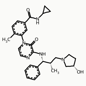 Cc1ccc(C(=O)NC2CC2)cc1-n1ccnc(N[C@@H](c2ccccc2)[C@@H](C)CN2CC[C@H](O)C2)c1=O